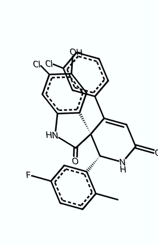 Cc1ccc(F)cc1[C@H]1NC(=O)C=C(c2cccc(Cl)c2)[C@]12C(=O)Nc1cc(Cl)c(O)cc12